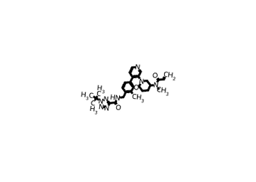 C=CC(=O)N(C)C1CCC(=O)N(c2cnccc2-c2ccc(CNC(=O)c3nnn(C(C)(C)C)n3)c(C)c2)C1